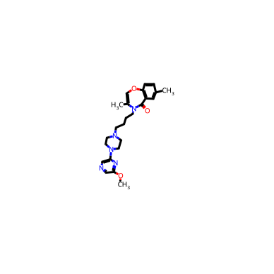 COc1cncc(N2CCN(CCCCN3C(=O)c4cc(C)ccc4OC=C3C)CC2)n1